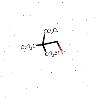 CCOC(=O)C(CBr)(C(=O)OCC)C(=O)OCC